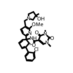 COc1nc(C2(NC(=O)c3cn(C)c(=O)n(C)c3=O)C=CC=C(c3ccccc3Cl)[C@H]2C)ccc1CN1CCC(C)(O)C1